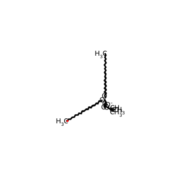 CCCCCCCCCCC=CC=CC=CC=CC=CC=COC[C@H](COP(=O)([O-])OCC[N+](C)(C)C)OC=CC=CC=CC=CC=CC=CCCCCCCCCCC